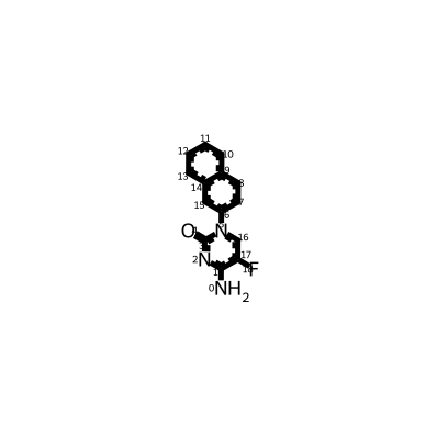 Nc1nc(=O)n(-c2ccc3ccccc3c2)cc1F